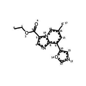 CCOC(=O)c1cnc2c(-c3cnco3)cc(F)cn12